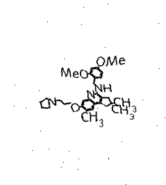 COc1ccc(CNc2nc3cc(OCCCN4CCCC4)c(C)cc3c3c2CC(C)(C)C3)c(OC)c1